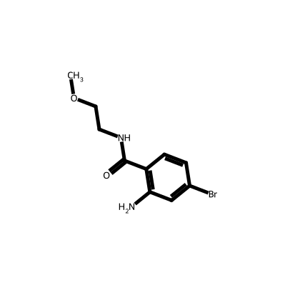 COCCNC(=O)c1ccc(Br)cc1N